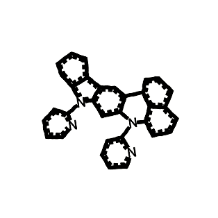 c1ccc(N2c3cc4c(cc3-c3cccc5cccc2c35)c2ccccc2n4-c2ccccn2)nc1